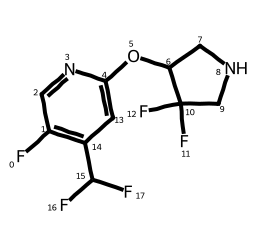 Fc1cnc(OC2CNCC2(F)F)cc1C(F)F